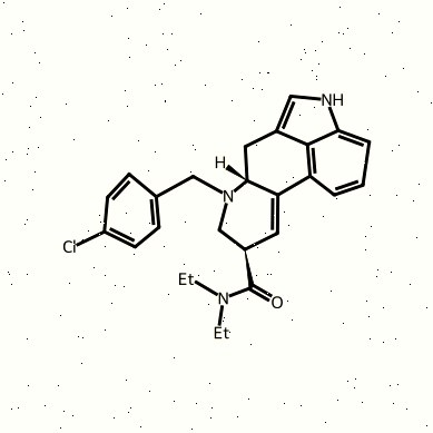 CCN(CC)C(=O)[C@@H]1C=C2c3cccc4[nH]cc(c34)C[C@H]2N(Cc2ccc(Cl)cc2)C1